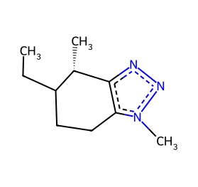 CCC1CCc2c(nnn2C)[C@H]1C